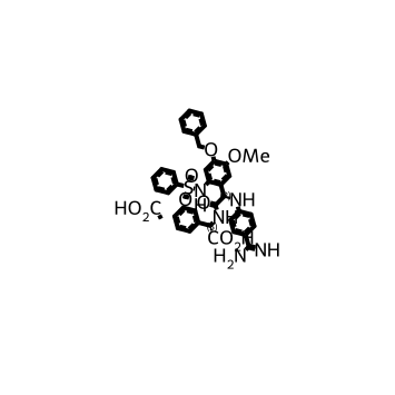 CC(=O)O.COc1cc([C@@H](Nc2ccc(C(=N)N)cc2)C(=O)N[C@H](C(=O)O)c2ccccc2)c(NS(=O)(=O)c2ccccc2)cc1OCc1ccccc1